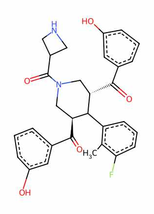 Cc1c(F)cccc1C1[C@@H](C(=O)c2cccc(O)c2)CN(C(=O)C2CNC2)C[C@@H]1C(=O)c1cccc(O)c1